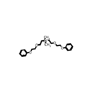 C[N+](C)(CCOCCOc1ccccc1)CCOCCOc1ccccc1